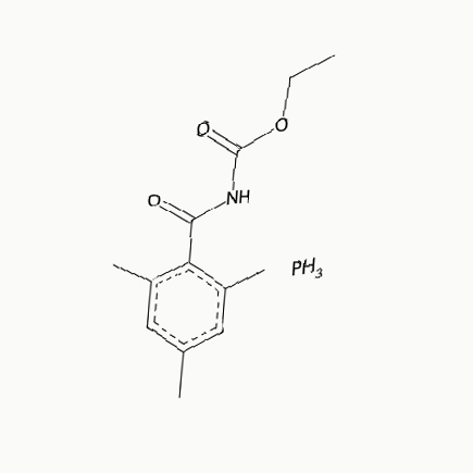 CCOC(=O)NC(=O)c1c(C)cc(C)cc1C.P